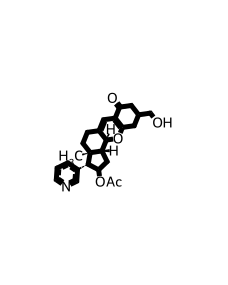 CC(=O)OC1C[C@H]2[C@@H]3OC4=C(C=C3CC[C@]2(C)[C@H]1c1cccnc1)C(=O)CC(CO)C4